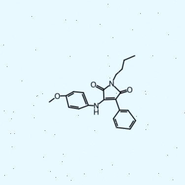 CCCCN1C(=O)C(Nc2ccc(OC)cc2)=C(c2ccccc2)C1=O